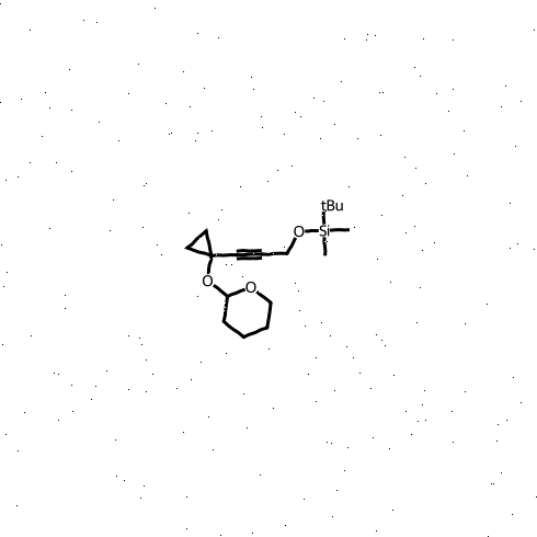 CC(C)(C)[Si](C)(C)OCC#CC1(OC2CCCCO2)CC1